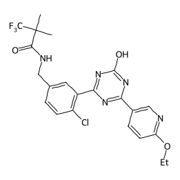 CCOc1ccc(-c2nc(O)nc(-c3cc(CNC(=O)C(C)(C)C(F)(F)F)ccc3Cl)n2)cn1